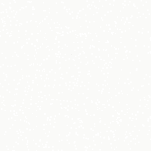 CCOC(=O)C1=CC(=O)CCC1SCc1ccc(F)cc1Cl